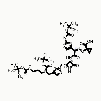 CC(C)(C)OC(=O)NCCCN(Cc1cnn(C[C@H]2NC(=O)[C@H]2NC(=O)/C(=N\OC2(C(=O)O)CC2)c2csc(NC(=O)OC(C)(C)C)n2)n1)C(=O)OC(C)(C)C